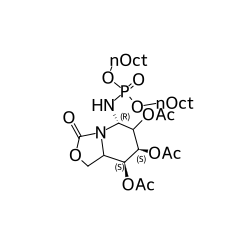 CCCCCCCCOP(=O)(N[C@@H]1C(OC(C)=O)[C@@H](OC(C)=O)[C@@H](OC(C)=O)C2COC(=O)N21)OCCCCCCCC